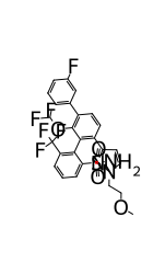 COCCn1ccc(-c2ccc(-c3cccc(F)c3)c(OC(F)F)c2-c2c(C(F)(F)F)cccc2S(N)(=O)=O)n1